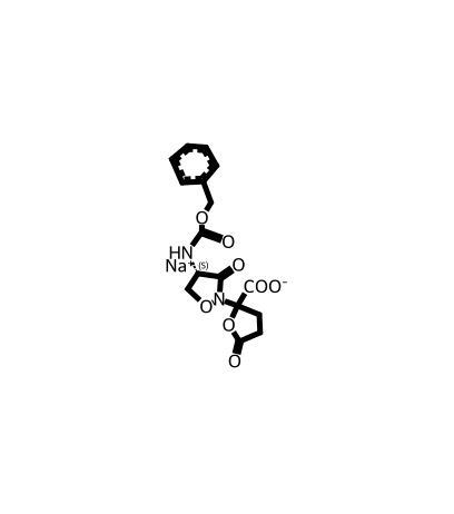 O=C1CCC(C(=O)[O-])(N2OC[C@H](NC(=O)OCc3ccccc3)C2=O)O1.[Na+]